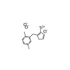 Cc1ccc(C)c(CC2=[C]([Ti+3])C=CC2)c1.[Cl-].[Cl-].[Cl-]